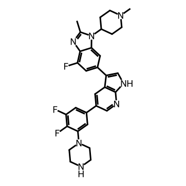 Cc1nc2c(F)cc(-c3c[nH]c4ncc(-c5cc(F)c(F)c(N6CCNCC6)c5)cc34)cc2n1C1CCN(C)CC1